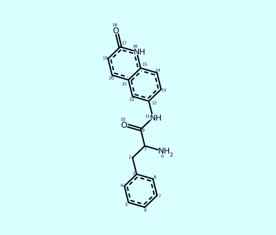 NC(Cc1ccccc1)C(=O)Nc1ccc2[nH]c(=O)ccc2c1